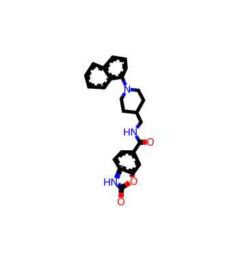 O=C(NCC1CCN(c2cccc3ccccc23)CC1)c1ccc2[nH]c(=O)oc2c1